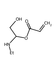 C=CC(=O)OC(CO)NCC